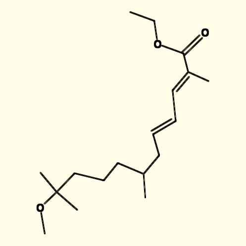 CCOC(=O)C(C)=CC=CCC(C)CCCC(C)(C)OC